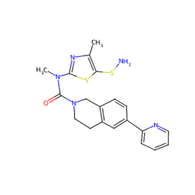 Cc1nc(N(C)C(=O)N2CCc3cc(-c4ccccn4)ccc3C2)sc1SN